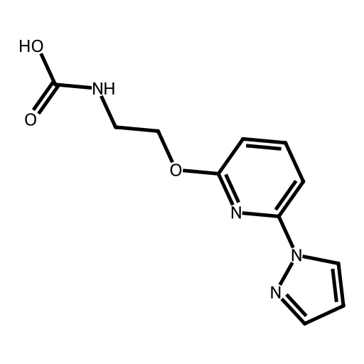 O=C(O)NCCOc1cccc(-n2cccn2)n1